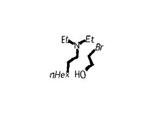 CCCCCCCCN(CC)CC.OCCBr